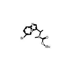 CC(c1cnc2ccc(Br)cn12)N(C)C(=O)OC(C)(C)C